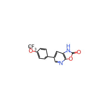 O=c1[nH]c2cc(-c3ccc(OC(F)(F)F)cc3)cnc2o1